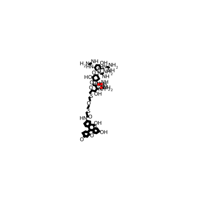 N=C(N)NC[C@H]1OC(OC2C(O)[C@@H](O[C@H]3OC(CSCCOCCSCC(=O)Nc4ccc(-c5c6ccc(=O)cc-6oc6cc(O)ccc56)c(C(=O)O)c4)[C@@H](O)C(NC(=N)N)C3O)C(NC(=N)N)C[C@@H]2NC(=N)N)[C@H](NC(=N)N)CC1O